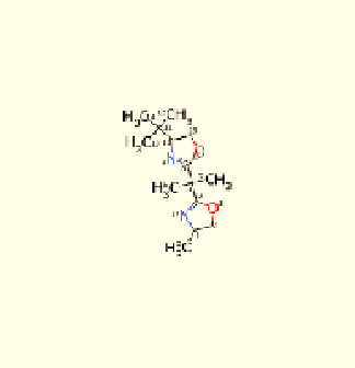 CC1COC(C(C)(C)C2=NC(C(C)(C)C)CO2)=N1